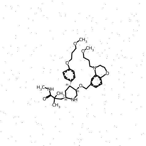 CNC(=O)C(C)(C)C[C@H]1C[C@H](c2ccc(OCCCOC)cc2)[C@@H](OCc2ccc3c(c2)N(CCCOC)CCO3)CN1